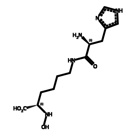 N[C@@H](Cc1c[nH]cn1)C(=O)NCCCC[C@H](NO)C(=O)O